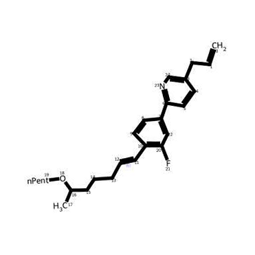 C=CCc1ccc(-c2ccc(/C=C/CCCC(C)OCCCCC)c(F)c2)nc1